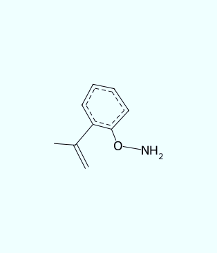 C=C(C)c1ccccc1ON